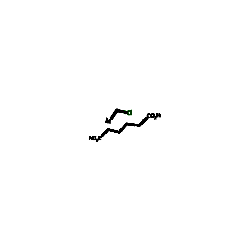 CC(=O)CCl.O=C(O)CCCCC(=O)O